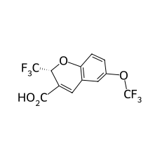 O=C(O)C1=Cc2cc(OC(F)(F)F)ccc2O[C@H]1C(F)(F)F